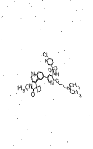 CN(C)CCCOc1ncc(-c2ccc3ncc4c(c3c2)C2(CCC2)C(=O)N4C)cc1NS(=O)(=O)c1ccc(Cl)nc1